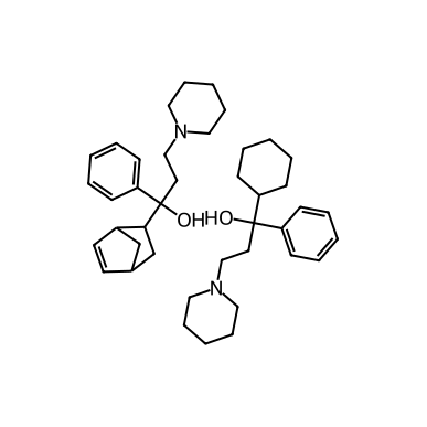 OC(CCN1CCCCC1)(c1ccccc1)C1CC2C=CC1C2.OC(CCN1CCCCC1)(c1ccccc1)C1CCCCC1